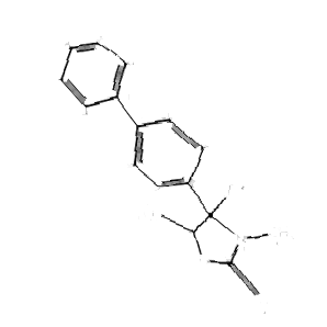 CC1OC(=O)N(C)C1(F)c1ccc(-c2ccccc2)cc1